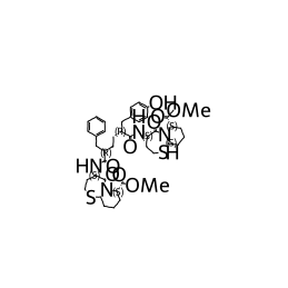 COC(=O)[C@@H]1CCCC2SCC[C@H](NC(=O)[C@H](CC[C@H](Cc3ccc(O)cc3)C(=O)N[C@H]3CCS[C@H]4CCC[C@@H](C(=O)OC)N4C3=O)Cc3ccccc3)C(=O)N21